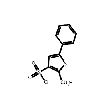 O=C(O)c1sc(-c2ccccc2)cc1S(=O)(=O)Cl